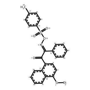 CCOc1ccc(C(=O)/C(=N/OS(=O)(=O)c2ccc(C)cc2)c2ccccc2)c2ccccc12